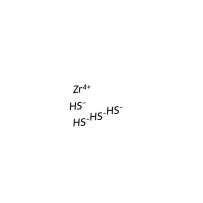 [SH-].[SH-].[SH-].[SH-].[Zr+4]